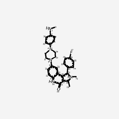 CNc1ccc(N2CCN(c3ccc4[nH]c(=O)c5c(C)n(C)c(-c6ccc(F)cc6)c5c4c3)CC2)cc1